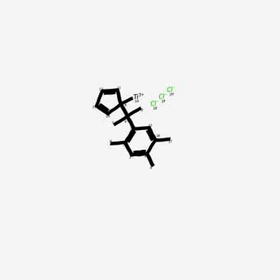 Cc1cc(C)c(C(C)(C)[C]2([Ti+3])C=CC=C2)cc1C.[Cl-].[Cl-].[Cl-]